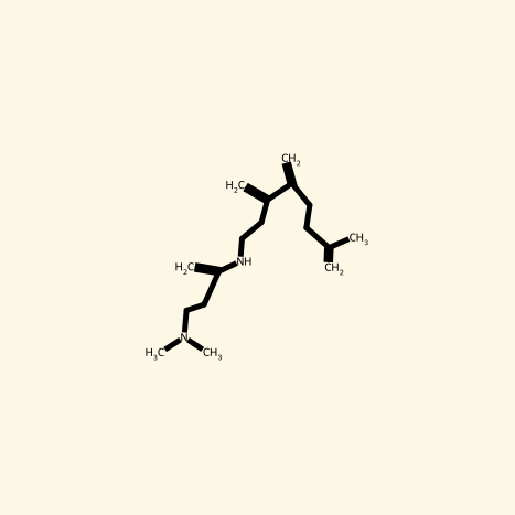 C=C(C)CCC(=C)C(=C)CCNC(=C)CCN(C)C